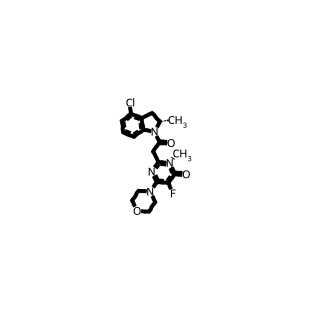 C[C@H]1Cc2c(Cl)cccc2N1C(=O)Cc1nc(N2CCOCC2)c(F)c(=O)n1C